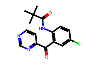 CC(C)(C)C(=O)Nc1ccc(Cl)cc1C(=O)c1ccncn1